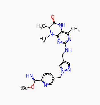 Cc1nc(NCc2cnn(Cc3ccc(C(=N)OC(C)(C)C)nc3)c2)nc2c1NC(=O)[C@H](C)N2C